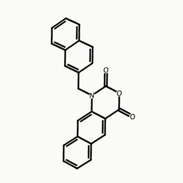 O=c1oc(=O)n(Cc2ccc3ccccc3c2)c2cc3ccccc3cc12